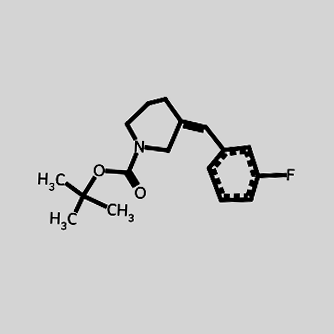 CC(C)(C)OC(=O)N1CCCC(=Cc2cccc(F)c2)C1